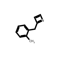 Cc1ccccc1CC1=NC=C1